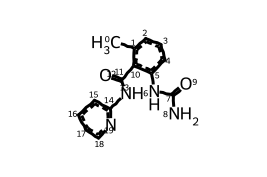 Cc1cccc(NC(N)=O)c1C(=O)Nc1ccccn1